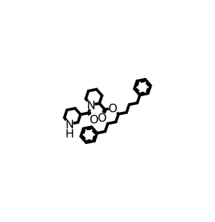 O=C(OC(CCCc1ccccc1)CCCc1ccccc1)C1CCCCN1C(=O)C1CCCNC1